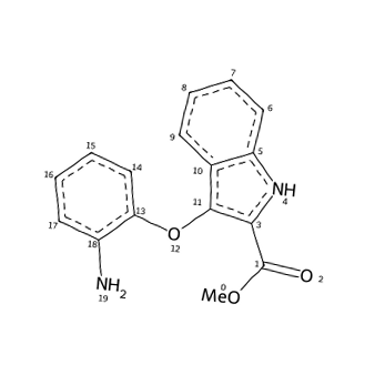 COC(=O)c1[nH]c2ccccc2c1Oc1ccccc1N